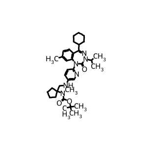 Cc1ccc2c(c1)N(c1ccc(NCC3(N(C)C(=O)OC(C)(C)C)CCCC3)cn1)C(=O)N(C(C)C)N=C2C1CCCCC1